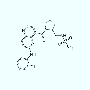 O=C(c1ccnc2ccc(Nc3ccncc3F)cc12)N1CCCC1CNS(=O)(=O)C(F)(F)F